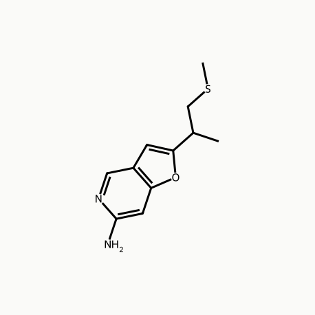 CSCC(C)c1cc2cnc(N)cc2o1